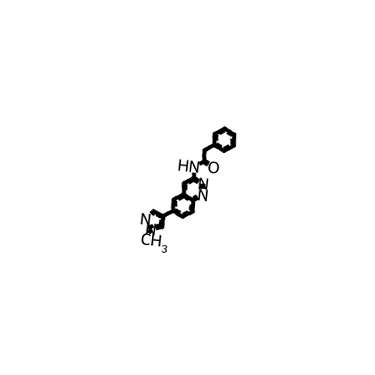 Cn1cc(-c2ccc3nnc(NC(=O)Cc4ccccc4)cc3c2)cn1